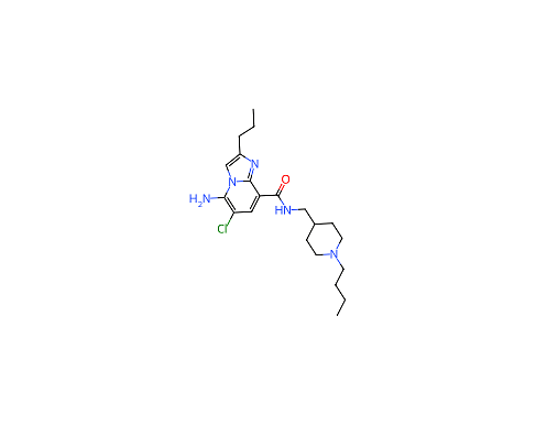 CCCCN1CCC(CNC(=O)c2cc(Cl)c(N)n3cc(CCC)nc23)CC1